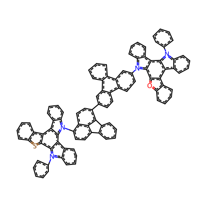 c1ccc(-n2c3ccccc3c3c2c2sc4ccccc4c2c2c4ccccc4n(-c4ccc5c6c(c(-c7ccc8c9ccc(-n%10c%11ccccc%11c%11c%10c%10oc%12ccccc%12c%10c%10c%12ccccc%12n(-c%12ccccc%12)c%10%11)cc9c9ccccc9c8c7)ccc46)-c4ccccc4-5)c23)cc1